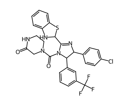 O=C1CN(C(=O)N2C(C3Nc4ccccc4S3)=NC(c3ccc(Cl)cc3)C2c2cccc(C(F)(F)F)c2)CCN1